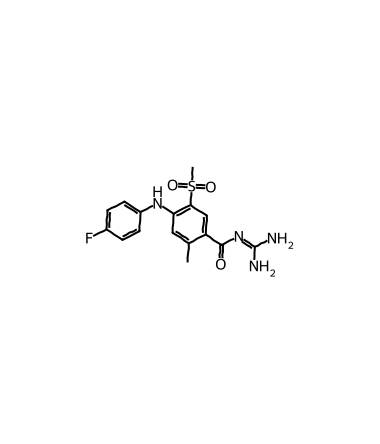 Cc1cc(Nc2ccc(F)cc2)c(S(C)(=O)=O)cc1C(=O)N=C(N)N